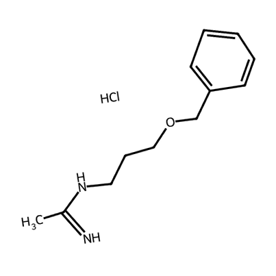 CC(=N)NCCCOCc1ccccc1.Cl